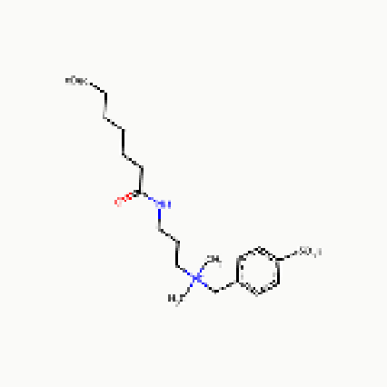 CCCCCCCCCCCCCCCC(=O)NCCC[N+](C)(C)Cc1ccc(S(=O)(=O)O)cc1